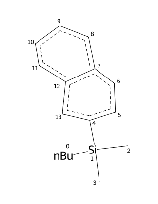 CCCC[Si](C)(C)c1ccc2ccccc2c1